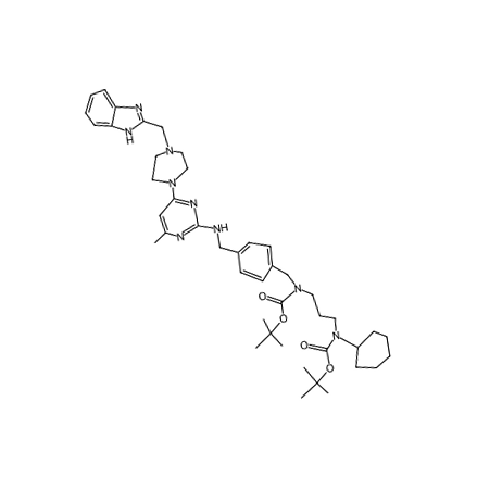 Cc1cc(N2CCN(Cc3nc4ccccc4[nH]3)CC2)nc(NCc2ccc(CN(CCCN(C(=O)OC(C)(C)C)C3CCCCC3)C(=O)OC(C)(C)C)cc2)n1